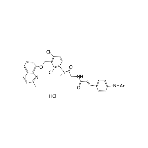 CC(=O)Nc1ccc(C=CC(=O)NCC(=O)N(C)c2ccc(Cl)c(COc3cccc4ncc(C)nc34)c2Cl)cc1.Cl